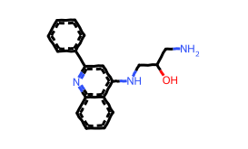 NCC(O)CNc1cc(-c2ccccc2)nc2ccccc12